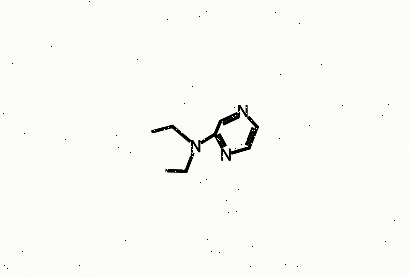 CCN(CC)c1cnccn1